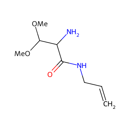 C=CCNC(=O)C(N)C(OC)OC